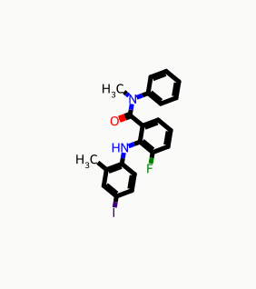 Cc1cc(I)ccc1Nc1c(F)cccc1C(=O)N(C)c1ccccc1